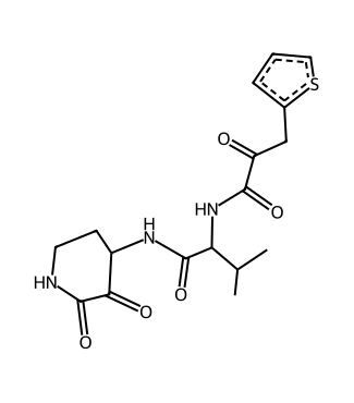 CC(C)C(NC(=O)C(=O)Cc1cccs1)C(=O)NC1CCNC(=O)C1=O